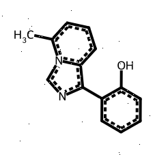 Cc1cccc2c(-c3ccccc3O)ncn12